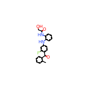 Cc1ccccc1C(=O)c1ccc(Nc2ccccc2NC(=O)CO)cc1F